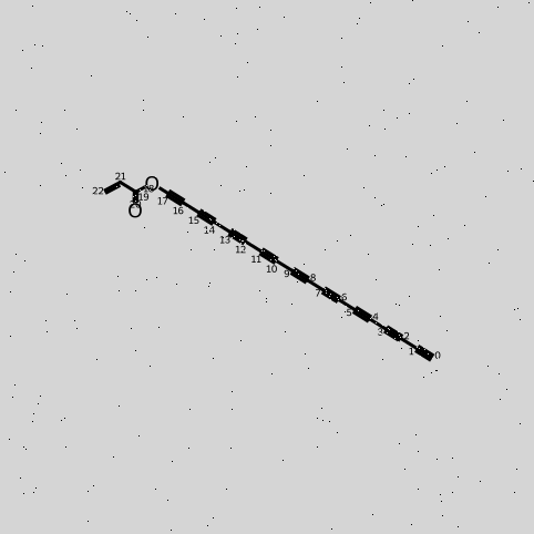 C#CC#CC#CC#CC#CC#CC#CC#CC#COC(=O)C=C